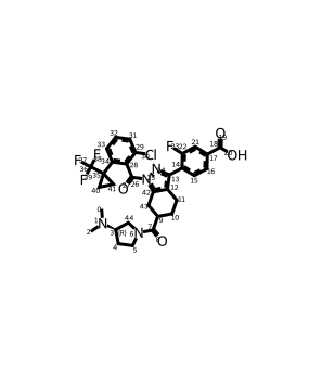 CN(C)[C@@H]1CCN(C(=O)C2CCc3c(-c4ccc(C(=O)O)cc4F)nn(C(=O)c4c(Cl)cccc4C4(C(F)(F)F)CC4)c3C2)C1